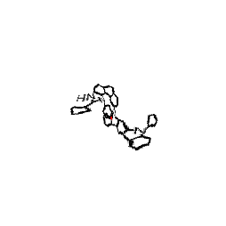 c1ccc(C2Nc3ccc4ccc5ccc(-n6c7ccccc7c7cc8c9ccccc9n(-c9ccccc9)c8cc76)cc5c4c3N2c2ccccc2)cc1